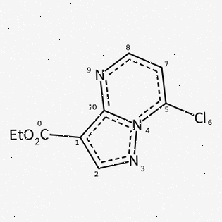 CCOC(=O)c1cnn2c(Cl)ccnc12